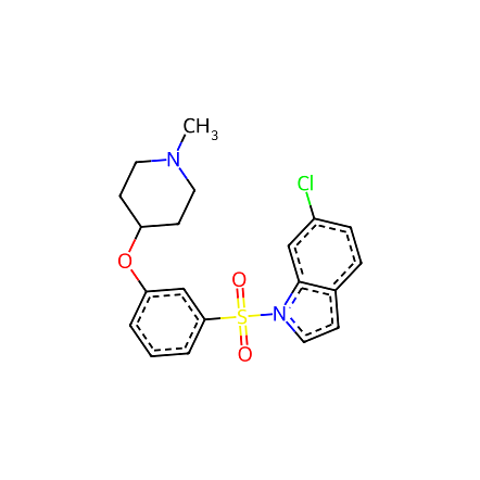 CN1CCC(Oc2cccc(S(=O)(=O)n3ccc4ccc(Cl)cc43)c2)CC1